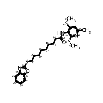 CSc1cc(C)nc(SC)c1NC(=O)CCCCCCCCSc1nc2ccccc2o1